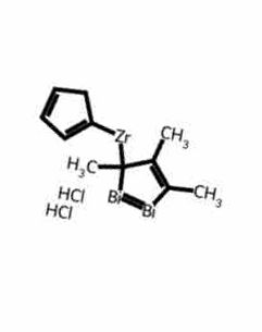 C[C]1=C(C)[C](C)([Zr][C]2=CC=CC2)[Bi]=[Bi]1.Cl.Cl